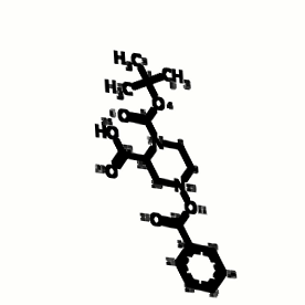 CC(C)(C)OC(=O)N1CCN(OC(=O)c2ccccc2)CC1C(=O)O